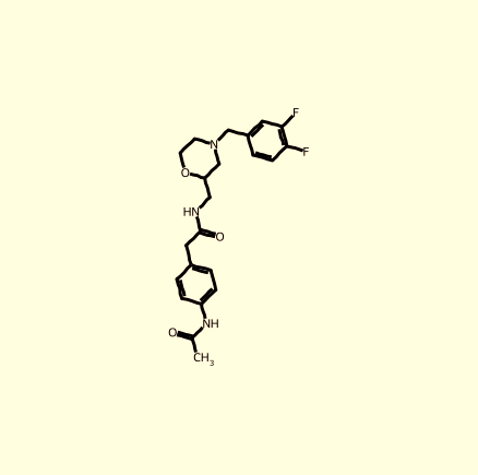 CC(=O)Nc1ccc(CC(=O)NCC2CN(Cc3ccc(F)c(F)c3)CCO2)cc1